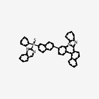 S=P(c1ccccc1)(c1ccc2cc(-c3ccc4c5c6ccccc6ccc5c5nc6ccccc6n5c4c3)ccc2c1)c1ncc2ccccc2n1